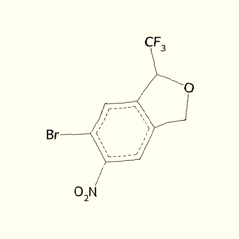 O=[N+]([O-])c1cc2c(cc1Br)C(C(F)(F)F)OC2